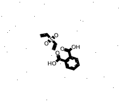 C=CS(=O)(=O)C=C.O=C(O)c1ccccc1C(=O)O